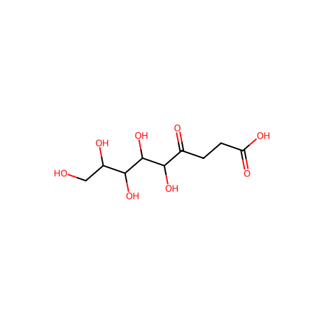 O=C(O)CCC(=O)C(O)C(O)C(O)C(O)CO